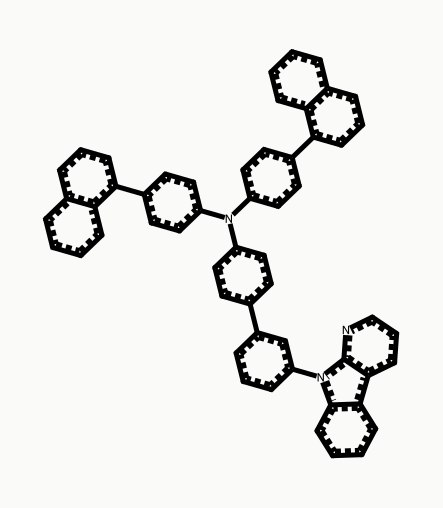 c1cc(-c2ccc(N(c3ccc(-c4cccc5ccccc45)cc3)c3ccc(-c4cccc5ccccc45)cc3)cc2)cc(-n2c3ccccc3c3cccnc32)c1